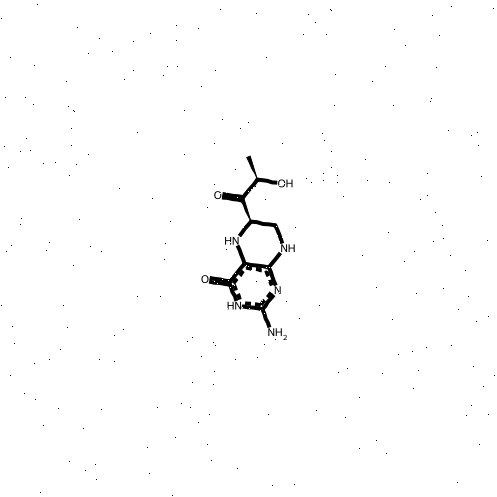 C[C@@H](O)C(=O)[C@H]1CNc2nc(N)[nH]c(=O)c2N1